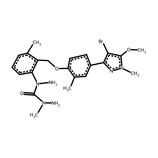 COc1c(Br)c(-c2ccc(OCc3c(C)cccc3N(N)C(=O)N(C)N)c(C)c2)nn1C